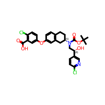 CC(C)(C)OC(=O)N(C[C@H](O)c1ccc(Cl)nc1)[C@H]1CCc2ccc(Oc3ccc(Cl)c(C(=O)O)c3)cc2C1